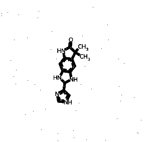 CC1(C)C(=O)Nc2cc3c(cc21)NC(c1c[nH]cn1)N3